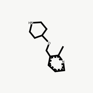 Cc1ncccc1COC1CCNCC1